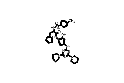 Cc1ccc(S(=O)(=O)NC(Cc2ccccc2)C(=O)Nc2ccc(Nc3nc(N4CCCCC4)nc(N4CCCCC4)n3)cc2O)cc1